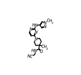 Cn1cc(Nc2nccc(N3CCC(C)(C(=O)NCC#N)CC3)n2)cn1